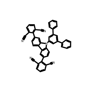 N#Cc1cccc(C#N)c1-c1ccc2c(c1)c1ccc(-c3c(C#N)cccc3C#N)cc1n2-c1cc(-c2ccccc2)cc(-c2ccccc2)c1